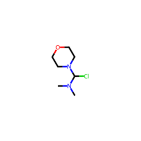 CN(C)C(Cl)N1CCOCC1